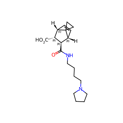 O=C(NCCCCN1CCCC1)[C@H]1[C@H](C(=O)O)[C@@H]2C=C[C@H]1C21CC1